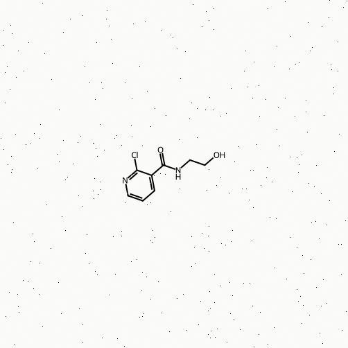 O=C(NCCO)c1cccnc1Cl